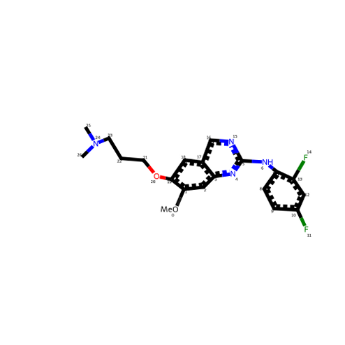 COc1cc2nc(Nc3ccc(F)cc3F)ncc2cc1OCCCN(C)C